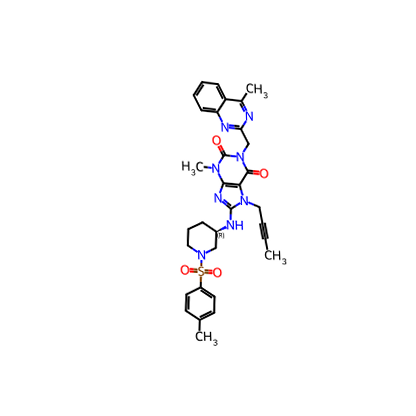 CC#CCn1c(N[C@@H]2CCCN(S(=O)(=O)c3ccc(C)cc3)C2)nc2c1c(=O)n(Cc1nc(C)c3ccccc3n1)c(=O)n2C